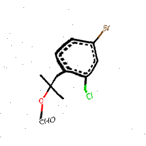 CC(C)(OC=O)c1ccc(Br)cc1Cl